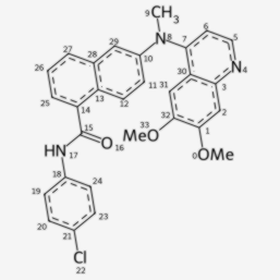 COc1cc2nccc(N(C)c3ccc4c(C(=O)Nc5ccc(Cl)cc5)cccc4c3)c2cc1OC